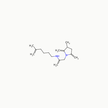 C=C(C)CCCCNC(=C)CN1C(=C)CC(C)C1=C